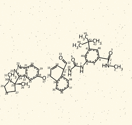 CNC(=O)c1cc(NC(=O)N[C@@]2(C=O)C=C[C@@H](Oc3ccc4nnc([C@]5(C)CCCN5C)n4c3)c3ccccc32)cc(C(C)(C)C)c1